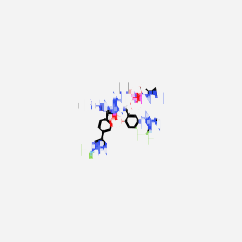 CC(C)(C)C[C@]1(c2ccc(-c3cnn(C(F)F)c3)cc2)NC(=N)N([C@H](COC(=O)NC2(C)CC2)c2cccc(-n3ncnc3C(F)F)c2)C1=O